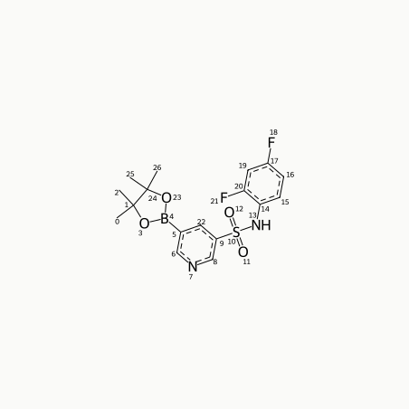 CC1(C)OB(c2cncc(S(=O)(=O)Nc3ccc(F)cc3F)c2)OC1(C)C